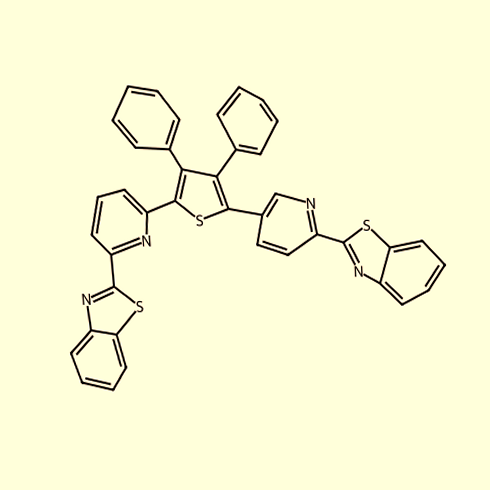 c1ccc(-c2c(-c3ccc(-c4nc5ccccc5s4)nc3)sc(-c3cccc(-c4nc5ccccc5s4)n3)c2-c2ccccc2)cc1